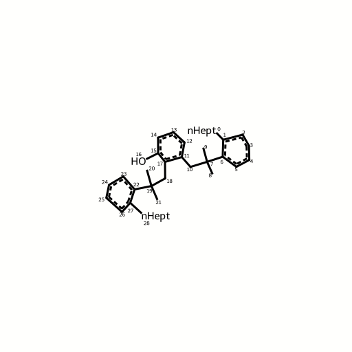 CCCCCCCc1ccccc1C(C)(C)Cc1cccc(O)c1CC(C)(C)c1ccccc1CCCCCCC